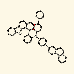 c1ccc(-c2ccc(N(c3ccc(-c4ccc5c(ccc6ccccc65)c4)cc3)c3ccccc3-c3cccc4ccc5c6ccccc6oc5c34)cc2)cc1